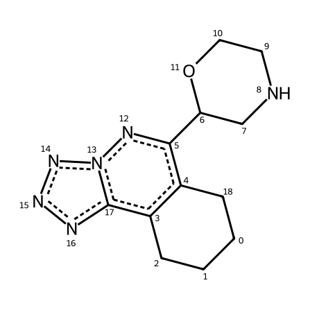 C1CCc2c(c(C3CNCCO3)nn3nnnc23)C1